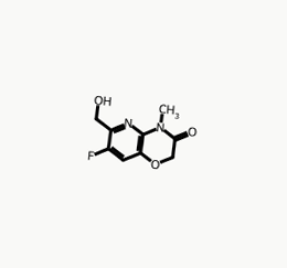 CN1C(=O)COc2cc(F)c(CO)nc21